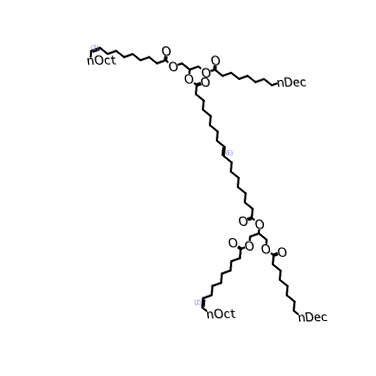 CCCCCCCC/C=C\CCCCCCCC(=O)OCC(COC(=O)CCCCCCCCCCCCCCCCC)OC(=O)CCCCCCC/C=C/CCCCCCCC(=O)OC(COC(=O)CCCCCCC/C=C\CCCCCCCC)COC(=O)CCCCCCCCCCCCCCCCC